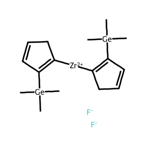 [CH3][Ge]([CH3])([CH3])[C]1=[C]([Zr+2][C]2=[C]([Ge]([CH3])([CH3])[CH3])C=CC2)CC=C1.[F-].[F-]